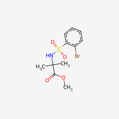 COC(=O)C(C)(C)NS(=O)(=O)c1ccccc1Br